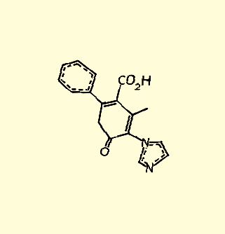 CC1=C(n2ccnc2)C(=O)CC(c2ccccc2)=C1C(=O)O